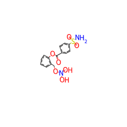 NS(=O)(=O)c1ccc(C(=O)Oc2ccccc2CON(O)O)cc1